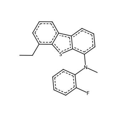 CCc1cccc2c1sc1c(N(C)c3ccccc3F)cccc12